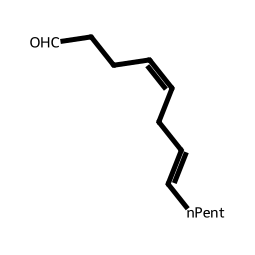 CCCCC/C=C/C/C=C\CCC=O